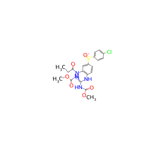 CCC(=O)Nc1cc([S+]([O-])c2ccc(Cl)cc2)ccc1NC(=NC(=O)OC)NC(=O)OC